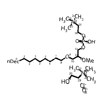 CCCCCCCCCCCCCCCCCCOCC(COP(=O)(O)OCC[N+](C)(C)C)OC.C[N+](C)(C)CCO.[Cl-].[Cl-]